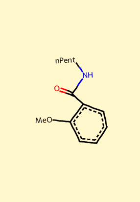 CCCCCNC(=O)c1ccccc1OC